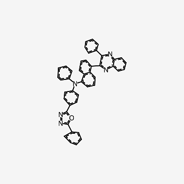 c1ccc(-c2nnc(-c3ccc(N(c4ccccc4)c4cccc5c(-c6nc7ccccc7nc6-c6ccccc6)cccc45)cc3)o2)cc1